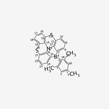 Cc1cc(C)c(B2c3cccc4c3N3c5c(cccc5Sc5cccc2c53)S4)c(C)c1